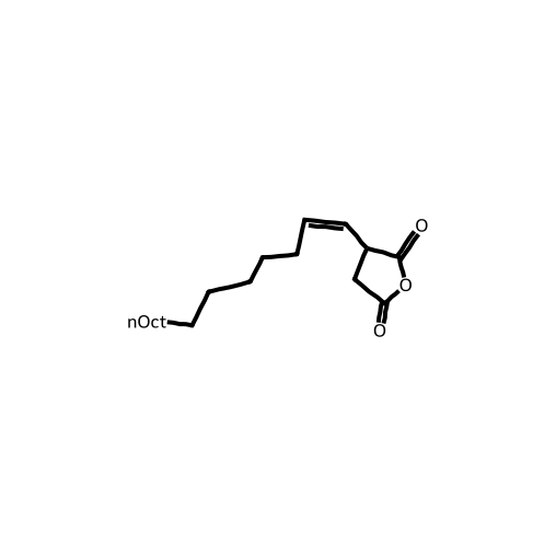 CCCCCCCCCCCCC/C=C\C1CC(=O)OC1=O